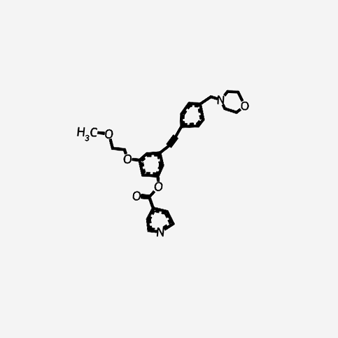 COCCOc1cc(C#Cc2ccc(CN3CCOCC3)cc2)cc(OC(=O)c2ccncc2)c1